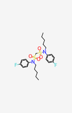 CCCCCN(c1ccc(F)cc1)S(=O)(=O)CS(=O)(=O)N(CCCCC)c1ccc(F)cc1